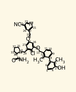 Cc1c(O)cccc1-c1cccc(COc2cc(OCc3cncc(C#N)c3)cc(CN3CCC[C@H]3C(N)=O)c2Cl)c1C